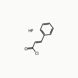 F.O=C(Cl)C=Cc1ccccc1